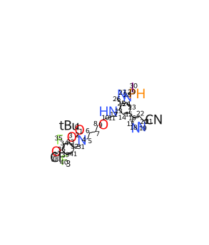 CC(C)(C)OC(=O)N(CCCCOCCNc1cc(-c2cnnc(C#N)c2)cc2c1cnn2PI)Cc1cc(F)c(OC(F)(F)F)c(F)c1